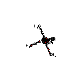 CCCCCCCCCCCCCCCC(=O)C(O)(C(=O)CCCCCCCCCCCCCCC)C(C(=O)O)(C(=O)CCCCCCCCCCCCCCC)N(C(=O)C(N)CO)C(=O)C(N)CSCC(O)CO